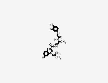 C=C(C)CN1C[C@@H](C(=O)NCCC(=C)NC(=O)COc2ccc(Cl)c(F)c2)Oc2ccc(Cl)cc21